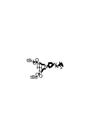 CC(C)(C)OC(=O)NCCCN(CCCNC(=O)OC(C)(C)C)c1ccc(/N=N/c2nccs2)cc1